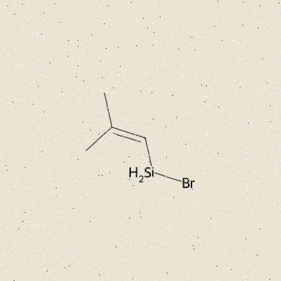 CC(C)=C[SiH2]Br